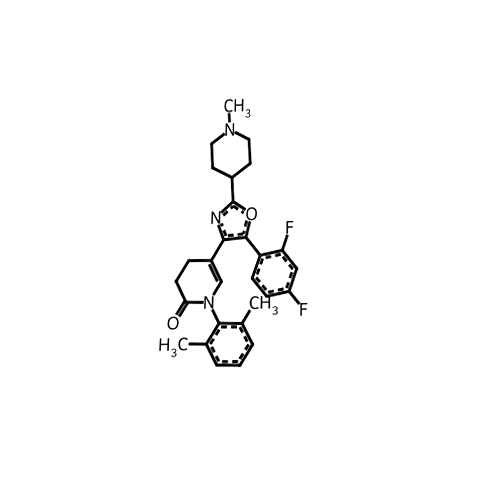 Cc1cccc(C)c1N1C=C(c2nc(C3CCN(C)CC3)oc2-c2ccc(F)cc2F)CCC1=O